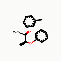 C=C(Oc1ccccc1)C(=O)OC.[CH2]c1ccccc1